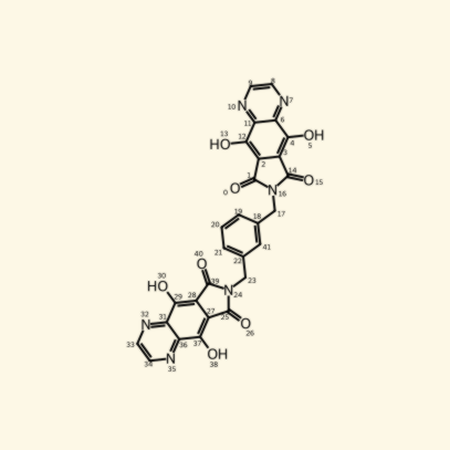 O=C1c2c(c(O)c3nccnc3c2O)C(=O)N1Cc1cccc(CN2C(=O)c3c(c(O)c4nccnc4c3O)C2=O)c1